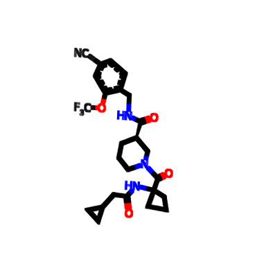 N#Cc1ccc(CNC(=O)[C@@H]2CCCN(C(=O)C3(NC(=O)CC4CC4)CCC3)C2)c(OC(F)(F)F)c1